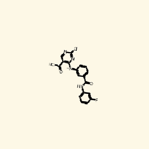 O=C(Nc1cccc(F)c1)c1cccc(Nc2nc(Cl)ncc2C(=O)O)c1